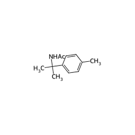 CC(=O)NC(C)(C)c1ccc(C)cc1